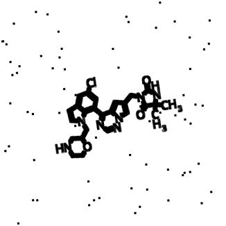 CC1(C)NC(=O)N(Cc2cc3c(-c4cc(Cl)cc5ccn(CC6CNCCO6)c45)ncnn3c2)C1=O